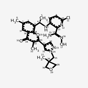 Cc1cc([C@@H](C)Nc2ccc(Cl)nc2/C(N)=N/O)c2oc(-c3cnn(CC4(C)COC4)c3)c(C)c(=O)c2c1